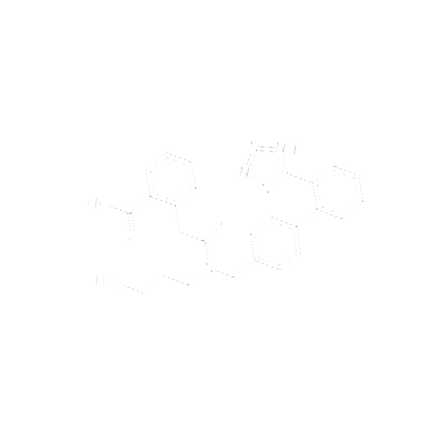 CCCCN(Cc1ccc(-c2ccccc2-c2nnn[nH]2)cc1)C(=O)Cc1ccccc1C(=O)O